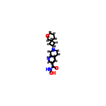 O=C(NO)c1cnc2c(c1)CCN([C@H]1C[C@@]3(CCCOC3)C1)C2